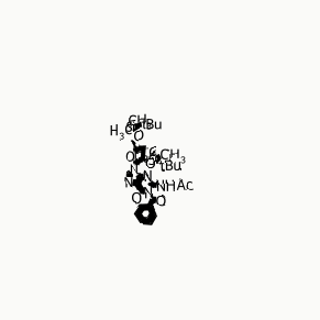 CC(=O)Nc1nc2c(ncn2[C@@H]2O[C@@H](CO[Si](C)(C)C(C)(C)C)[CH][C@H]2O[Si](C)(C)C(C)(C)C)c(=O)n1C(=O)c1ccccc1